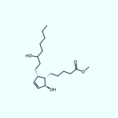 CCCCCC(O)CC[C@H]1C=C[C@H](O)[C@H]1CCCCC(=O)OC